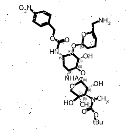 CC(=O)N[C@@H]1C[C@H](NC(=O)OCc2ccc([N+](=O)[O-])cc2)[C@@H](O[C@@H]2CCC=C(CN)O2)[C@H](O)[C@H]1O[C@H]1OC[C@](C)(O)[C@H](N(C)C(=O)OC(C)(C)C)[C@H]1O